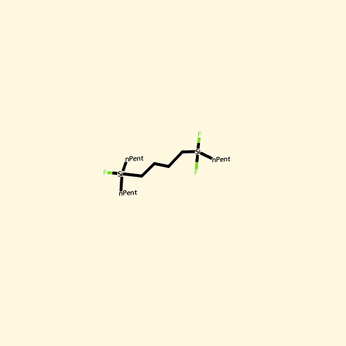 CCCCC[Si](F)(F)CCCC[Si](F)(CCCCC)CCCCC